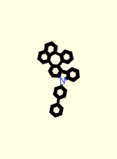 c1ccc(-c2ccc(-n3c4ccccc4c4c5c(ccc43)-c3cccc4cccc(c34)-c3ccccc3-5)cc2)cc1